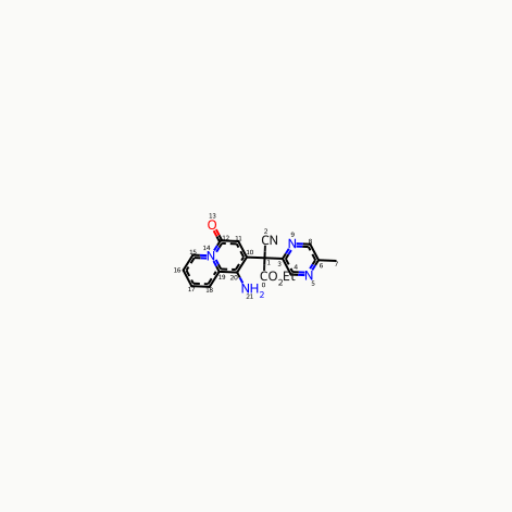 CCOC(=O)C(C#N)(c1cnc(C)cn1)c1cc(=O)n2ccccc2c1N